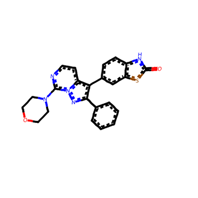 O=c1[nH]c2ccc(-c3c(-c4ccccc4)nn4c(N5CCOCC5)nccc34)cc2s1